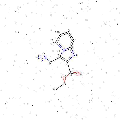 CCOC(=O)c1nc2ccccn2c1CN